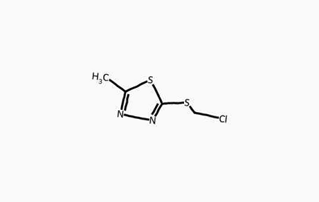 Cc1nnc(SCCl)s1